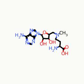 CN(CCC(N)C(=O)O)CC1OC(n2cnc3c(N)ncnc32)C(O)C1O